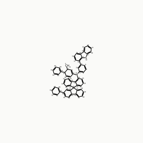 CC1C=C(N(c2cccc(-c3cccc4c3sc3ccccc34)c2)c2cccc3c2-c2ccccc2C32c3ccccc3-c3ccc(-c4ccccc4)cc32)C=CC1c1ccccc1